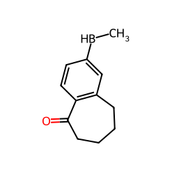 CBc1ccc2c(c1)CCCCC2=O